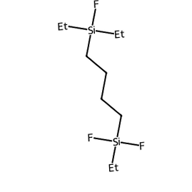 CC[Si](F)(F)CCCC[Si](F)(CC)CC